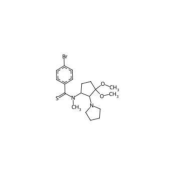 COC1(OC)CCC(N(C)C(=S)c2ccc(Br)cc2)C1N1CCCC1